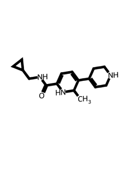 CC1NC(C(=O)NCC2CC2)=CC=C1C1=CCNCC1